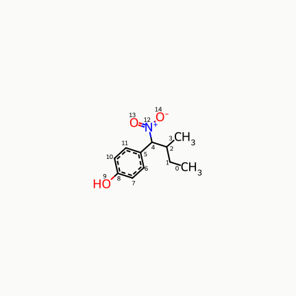 CCC(C)C(c1ccc(O)cc1)[N+](=O)[O-]